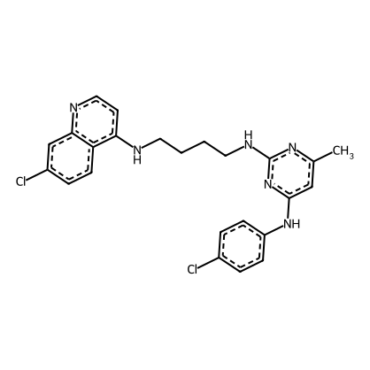 Cc1cc(Nc2ccc(Cl)cc2)nc(NCCCCNc2ccnc3cc(Cl)ccc23)n1